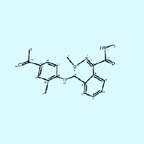 CNC(=O)/C(=N/OC)c1ccccc1COc1ccc(C(C)=O)cc1C